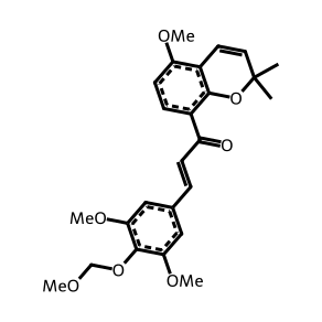 COCOc1c(OC)cc(C=CC(=O)c2ccc(OC)c3c2OC(C)(C)C=C3)cc1OC